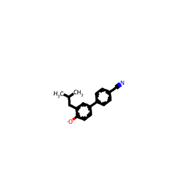 CC(C)Cc1cc(-c2ccc(C#N)cc2)ccc1[O]